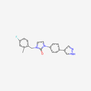 Cc1cc(F)ccc1Cn1ccn(-c2ccc(-c3cn[nH]c3)cc2)c1=O